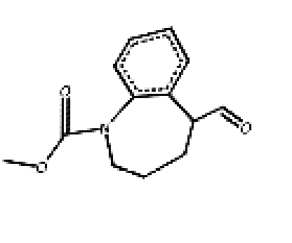 COC(=O)N1CCCC(C=O)c2ccccc21